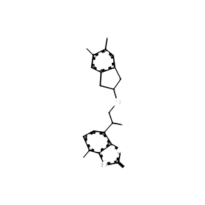 CCc1cc2c(cc1CC)CC(NCC(O)c1ccc(O)c3[nH]c(=O)sc13)C2